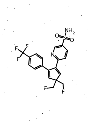 NS(=O)(=O)c1ccc(C2=CC(CF)(CF)C=C2c2ccc(C(F)(F)F)cc2)nc1